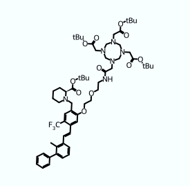 Cc1c(/C=C/c2cc(OCCOCCNC(=O)CN3CN(CC(=O)OC(C)(C)C)CN(CC(=O)OC(C)(C)C)CN(CC(=O)OC(C)(C)C)C3)c(CN3CCCC[C@H]3C(=O)OC(C)(C)C)cc2C(F)(F)F)cccc1-c1ccccc1